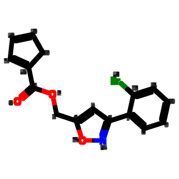 O=C(OCc1cc(-c2ccccc2Br)no1)C1=CC=CC1